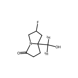 [2H]C([2H])(O)C12CCC(=O)N1CC(F)C2